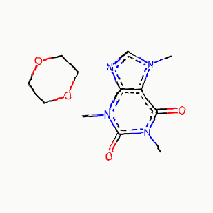 C1COCCO1.Cn1c(=O)c2c(ncn2C)n(C)c1=O